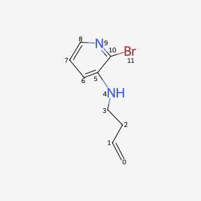 C=CCCNc1cccnc1Br